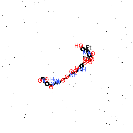 CCc1c2c(nc3ccc(O)cc13)-c1cc3c(c(=O)n1C2)COC(=O)[C@@]3(CC)OC(=O)OCc1ccc(NC(=O)COCC(=O)NCCOCCOCCn2cc(CNC(=O)C3CCC(CN4C(=O)C=CC4=O)CC3)nn2)cc1